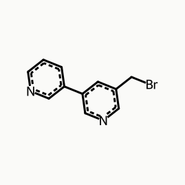 BrCc1cncc(-c2cccnc2)c1